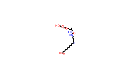 CC(CCOCCOCCO)CNC(=O)NCCCC/C=C\CCCCCCCCCC(=O)O